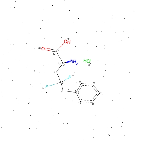 Cl.N[C@@H](CC(F)(F)Cc1ccccc1)C(=O)O